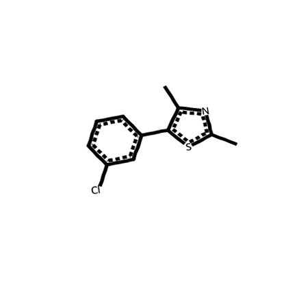 Cc1nc(C)c(-c2cccc(Cl)c2)s1